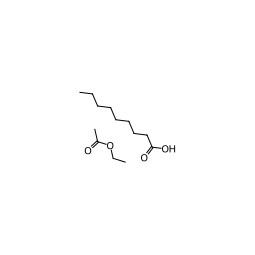 CCCCCCCCC(=O)O.CCOC(C)=O